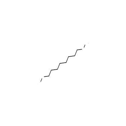 CCCCOCCCCCCCCOCCCC